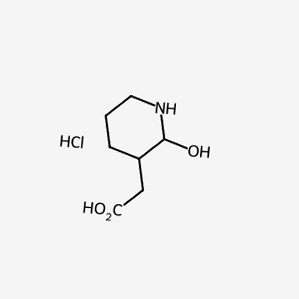 Cl.O=C(O)CC1CCCNC1O